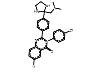 CN(C)CC1(c2ccc(-c3nc4ccc(Br)cc4c(=O)n3-c3ccc(Cl)cc3)cc2)NCCN1